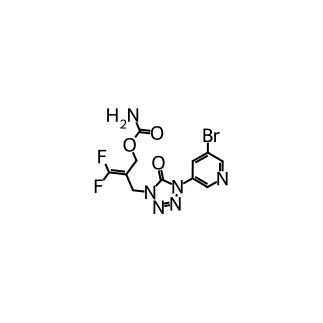 NC(=O)OCC(Cn1nnn(-c2cncc(Br)c2)c1=O)=C(F)F